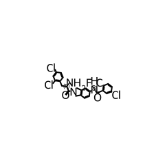 N[C@H](Cc1ccc(Cl)cc1Cl)C(=O)N1Cc2ccc(NC(=O)c3cc(Cl)ccc3C(F)(F)F)cc2C1